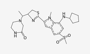 CC(C1CSC(c2cc3cc(S(C)(=O)=O)cc(NC4CCCC4)c3n2C)=N1)N1CCNC(=O)C1